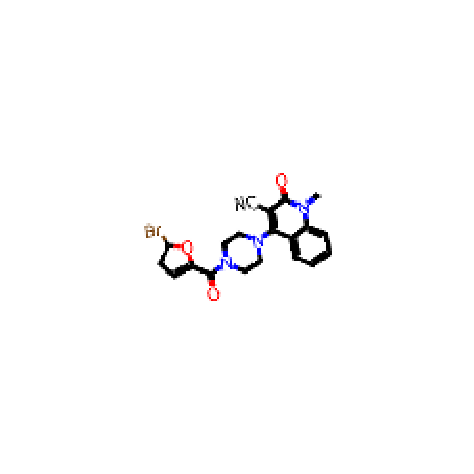 Cn1c(=O)c(C#N)c(N2CCN(C(=O)C3=CCC(Br)O3)CC2)c2ccccc21